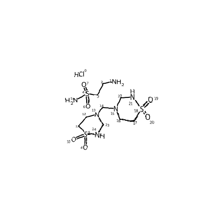 Cl.NCCS(N)(=O)=O.O=S1(=O)CCN(CN2CCS(=O)(=O)NC2)CN1